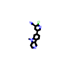 Cn1c2ccncc2c2ccc(-c3cnc(Cl)c(C#N)c3)cc21